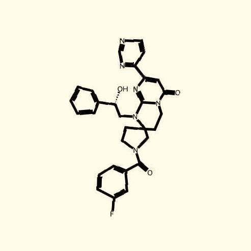 O=C(c1cccc(F)c1)N1CCC2(CCn3c(nc(-c4ccncn4)cc3=O)N2C[C@@H](O)c2ccccc2)C1